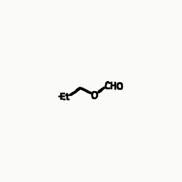 C[CH]COC=O